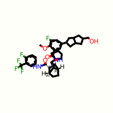 COc1c(F)cc(C2CC3CC(CO)CC3C2)cc1C(=O)N[C@H]1[C@@H](C(=O)Nc2ccc(F)c(C(F)(F)F)c2)[C@H]2CC[C@@H]1/C2=C\C1CCCC1